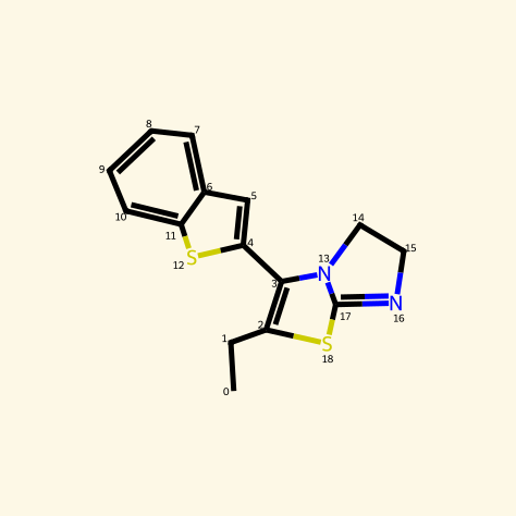 CCC1=C(c2cc3ccccc3s2)N2CCN=C2S1